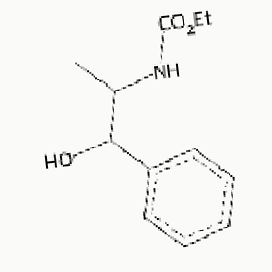 CCOC(=O)NC(C)C(O)c1ccccc1